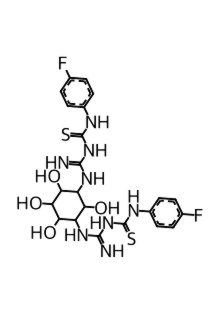 N=C(NC(=S)Nc1ccc(F)cc1)NC1C(O)C(O)C(O)C(NC(=N)NC(=S)Nc2ccc(F)cc2)C1O